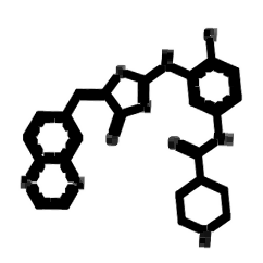 O=C1N=C(Nc2cc(NC(=O)C3CCNCC3)ccc2Cl)SC1=Cc1ccc2nccnc2c1